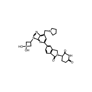 O=C1CCC(N2Cc3cc(-c4cc(CN5CCCC5)c5ncn(C6CS(O)(O)C6)c5n4)ccc3C2=O)C(=O)N1